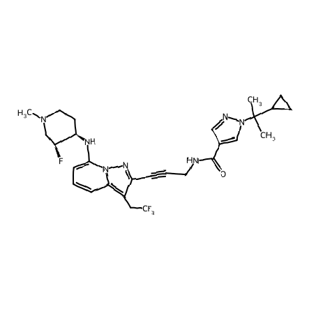 CN1CC[C@@H](Nc2cccc3c(CC(F)(F)F)c(C#CCNC(=O)c4cnn(C(C)(C)C5CC5)c4)nn23)[C@@H](F)C1